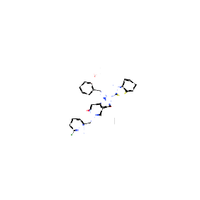 COc1ccccc1Cn1c2cc(=O)n(Cc3cccc(Cl)n3)c(C)c2c(=O)n1-c1nc2ccccc2s1